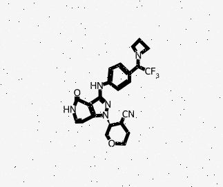 N#CC1CCOC[C@@H]1n1nc(Nc2ccc(C(N3CCC3)C(F)(F)F)cc2)c2c(=O)[nH]ccc21